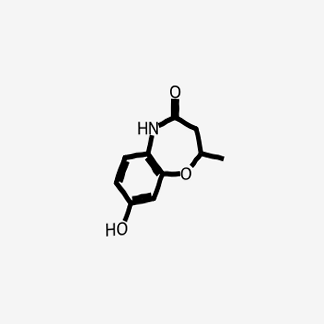 CC1CC(=O)Nc2ccc(O)cc2O1